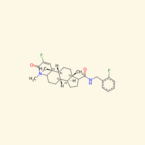 CN1C(=O)C(F)=C[C@@]2(C)C1CC[C@@H]1[C@H]2CC[C@]2(C)C(C(=O)NCc3ccccc3F)CC[C@@H]12